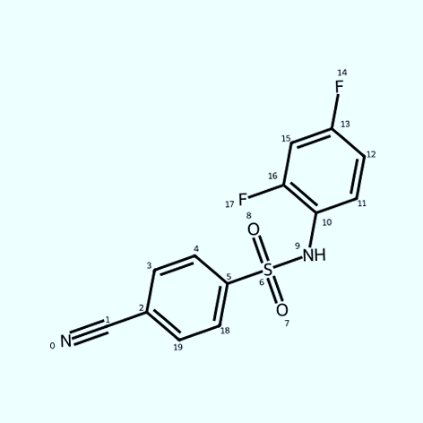 N#Cc1ccc(S(=O)(=O)Nc2ccc(F)cc2F)cc1